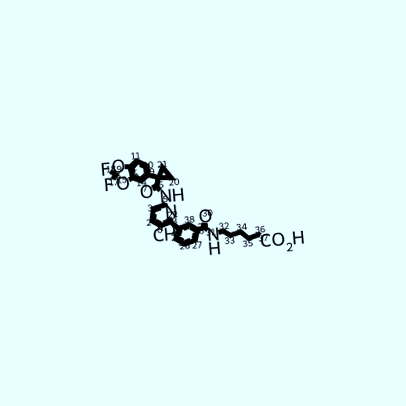 Cc1ccc(NC(=O)C2(c3ccc4c(c3)OC(F)(F)O4)CC2)nc1-c1cccc(C(=O)NCCCCCC(=O)O)c1